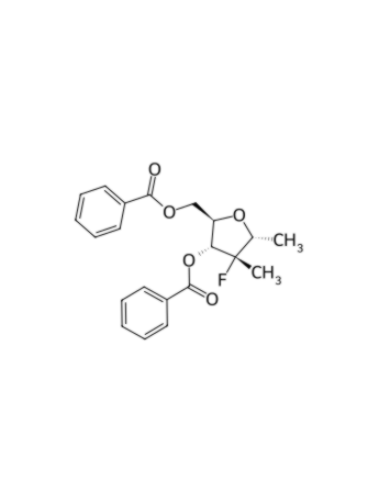 C[C@H]1O[C@H](COC(=O)c2ccccc2)[C@@H](OC(=O)c2ccccc2)[C@@]1(C)F